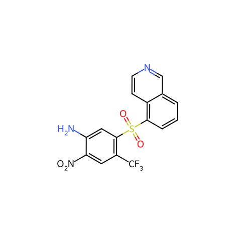 Nc1cc(S(=O)(=O)c2cccc3cnccc23)c(C(F)(F)F)cc1[N+](=O)[O-]